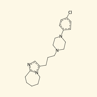 Clc1ccc(N2CCN(CCCc3cnc4n3CCCCC4)CC2)cc1